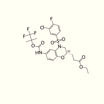 CCOC(=O)CC[C@H]1CN(S(=O)(=O)c2ccc(F)c(Cl)c2)c2cc(NC(=O)OC(C)(C)C(F)(F)F)ccc2O1